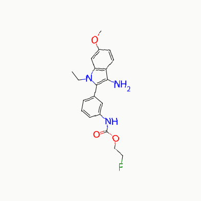 CCn1c(-c2cccc(NC(=O)OCCF)c2)c(N)c2ccc(OC)cc21